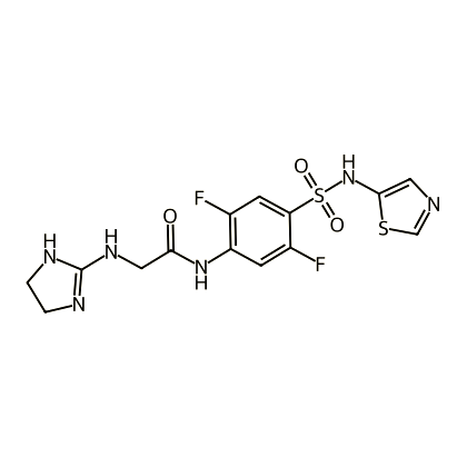 O=C(CNC1=NCCN1)Nc1cc(F)c(S(=O)(=O)Nc2cncs2)cc1F